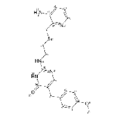 COc1ccc(Cc2cnc(NCCSCc3ncccc3N)[nH]c2=O)cc1